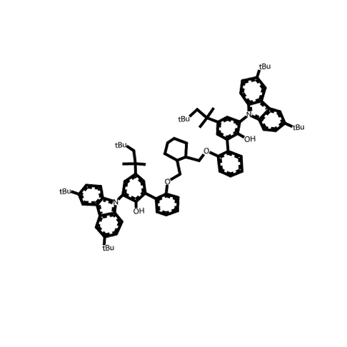 CC(C)(C)CC(C)(C)c1cc(-c2ccccc2OCC2CCCCC2COc2ccccc2-c2cc(C(C)(C)CC(C)(C)C)cc(-n3c4ccc(C(C)(C)C)cc4c4cc(C(C)(C)C)ccc43)c2O)c(O)c(-n2c3ccc(C(C)(C)C)cc3c3cc(C(C)(C)C)ccc32)c1